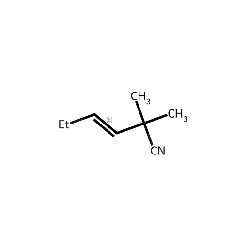 CC/C=C/C(C)(C)C#N